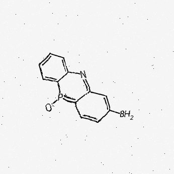 Bc1ccc2c(c1)nc1ccccc1[p+]2[O-]